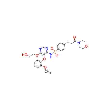 COc1ccccc1Oc1c(NS(=O)(=O)c2ccc(CCC(=O)N3CCOCC3)cc2)ncnc1OCCO